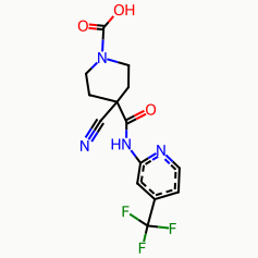 N#CC1(C(=O)Nc2cc(C(F)(F)F)ccn2)CCN(C(=O)O)CC1